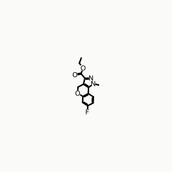 CCOC(=O)c1nn(C)c2c1COc1cc(F)ccc1-2